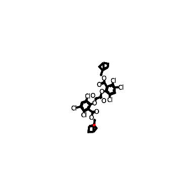 O=C(Oc1c(Cl)cc(Cl)c(Cl)c1C(=O)OCC1CC2CC1C2)C(=O)Oc1c(Cl)cc(Cl)c(Cl)c1C(=O)OCC1CC2CC1C2